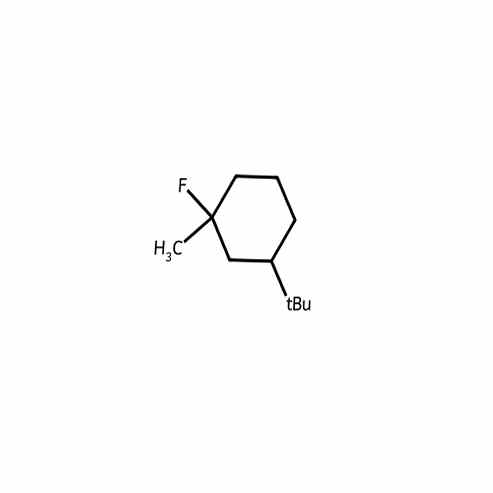 CC1(F)CCCC(C(C)(C)C)C1